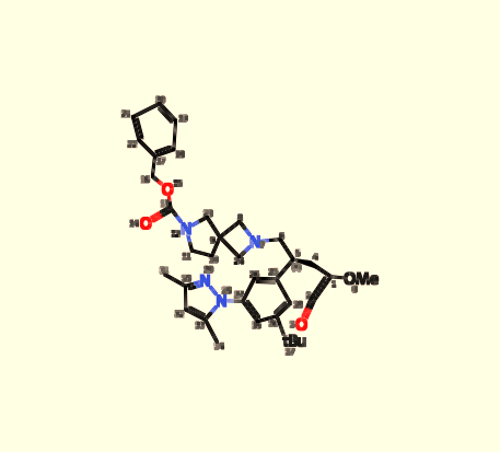 COC(=C=O)C[C@H](CN1CC2(CCN(C(=O)OCc3ccccc3)C2)C1)c1cc(-n2nc(C)cc2C)cc(C(C)(C)C)c1